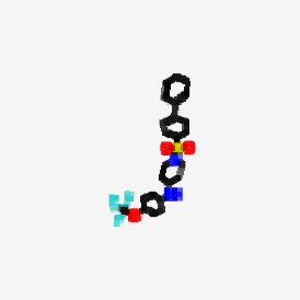 O=S(=O)(c1ccc(-c2ccccc2)cc1)N1CCC(Nc2ccc(OC(F)(F)F)cc2)CC1